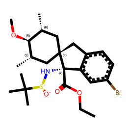 CCOC(=O)[C@]1(N[S+]([O-])C(C)(C)C)c2cc(Br)ccc2C[C@@]12C[C@@H](C)[C@H](OC)[C@@H](C)C2